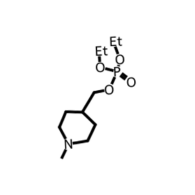 CCOP(=O)(OCC)OCC1CCN(C)CC1